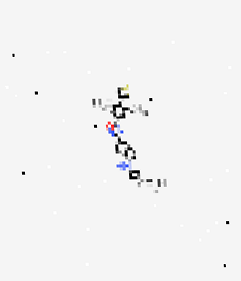 Cc1cc(-c2nc(-c3ccc4c(c3)CCC4N[C@H]3C[C@H](C(=O)O)C3)no2)cc(C)c1-c1ccsc1